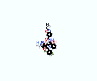 Cc1nc2ccc(C(=O)NC[C@@](O)(c3ccccc3)c3cc4c(c(-c5cc(F)c(F)cc5F)n3)OC[C@]4(C)C(N)=O)cc2o1